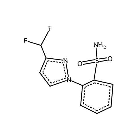 NS(=O)(=O)c1ccccc1-n1ccc(C(F)F)n1